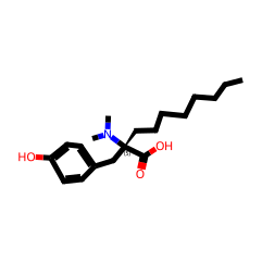 CCCCCCCC[C@](Cc1ccc(O)cc1)(C(=O)O)N(C)C